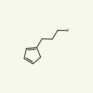 FCCCC1=CC=CC1